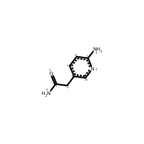 NC(=O)[CH]c1ccc(N)nc1